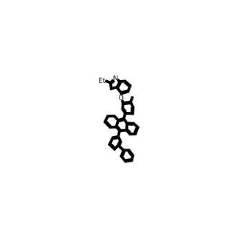 CCC1=Nc2cccc(Oc3cc(-c4c5c(c(-c6cccc(-c7ccccc7)c6)c6ccccc46)C=CCC5)ccc3C)c2C1